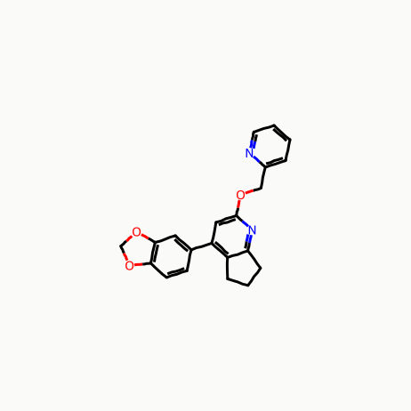 c1ccc(COc2cc(-c3ccc4c(c3)OCO4)c3c(n2)CCC3)nc1